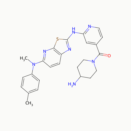 Cc1ccc(N(C)c2ccc3nc(Nc4cc(C(=O)N5CCC(N)CC5)ccn4)sc3n2)cc1